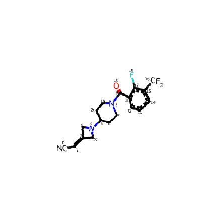 N#CC=C1CN(C2CCN(C(=O)c3cccc(C(F)(F)F)c3F)CC2)C1